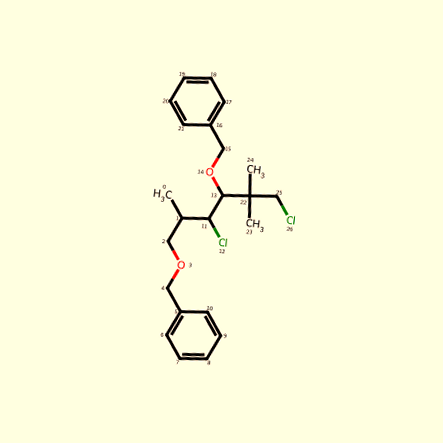 CC(COCc1ccccc1)C(Cl)C(OCc1ccccc1)C(C)(C)CCl